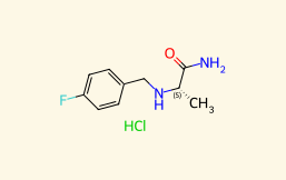 C[C@H](NCc1ccc(F)cc1)C(N)=O.Cl